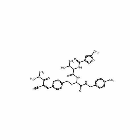 Cc1ccc(CNC(=O)C(CCc2ccc(C=C(C#N)C(=O)N(C)C)cc2)NC(=O)C(NC(=O)c2cc(C)on2)C(C)O)cc1